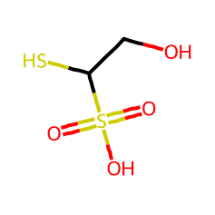 O=S(=O)(O)C(S)CO